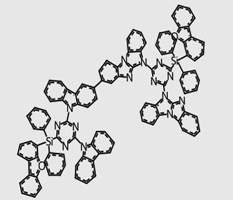 c1ccc([Si](c2ccccc2)(c2nc(-n3c4ccccc4c4ccccc43)nc(-n3c4ccccc4c4cc(-c5ccc6c(c5)nc5n(-c7nc(-n8c9ccccc9n9c%10ccccc%10nc89)nc([Si](c8ccccc8)(c8ccccc8)c8cccc9c8oc8ccccc89)n7)c7ccccc7n65)ccc43)n2)c2cccc3c2oc2ccccc23)cc1